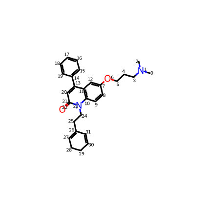 CN(C)CCCOc1ccc2c(c1)c(-c1ccccc1)cc(=O)n2CCC1=CCCC=C1